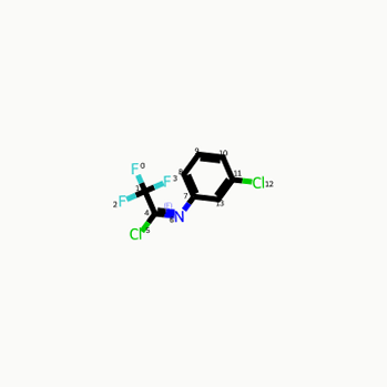 FC(F)(F)/C(Cl)=N\c1cccc(Cl)c1